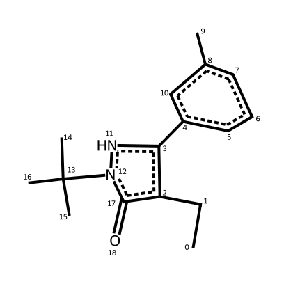 CCc1c(-c2cccc(C)c2)[nH]n(C(C)(C)C)c1=O